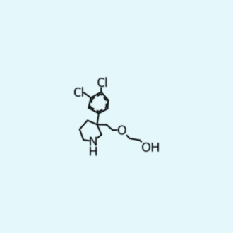 OCCOCCC1(c2ccc(Cl)c(Cl)c2)CCCNC1